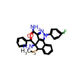 CSC1c2ccccc2-c2c(c(C(N)=O)nn2-c2ccc(F)cc2)C1(N)C(=O)c1ccccc1